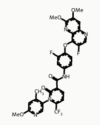 COc1cc(C)c(-n2c(C(F)(F)F)ccc(C(=O)Nc3ccc(Oc4c(F)cnc5cc(OC)c(OC)nc45)c(F)c3)c2=O)cn1